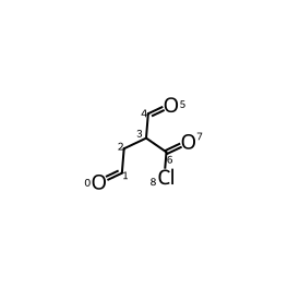 O=CCC(C=O)C(=O)Cl